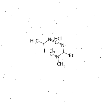 CCC(N=C=NC(C)I)N(C)C.Cl